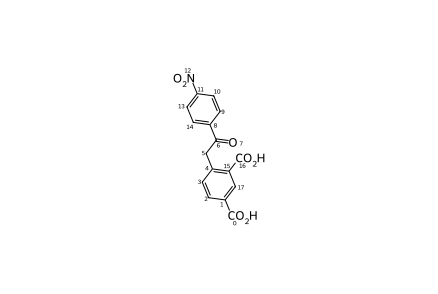 O=C(O)c1ccc(CC(=O)c2ccc([N+](=O)[O-])cc2)c(C(=O)O)c1